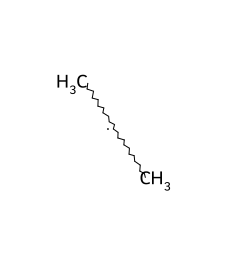 CCCCCCCCCCCC[CH]CCCCCCCCCCCC